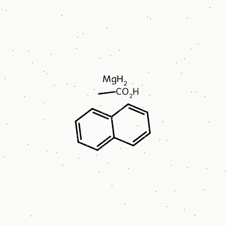 CC(=O)O.[MgH2].c1ccc2ccccc2c1